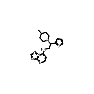 CC1CCN(C(CNc2ccnc3ncnn23)c2cccs2)CC1